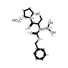 CC(C)CC(NC(=O)OCc1ccccc1)C(=O)N1CCC[C@H]1C(=O)O.OBO